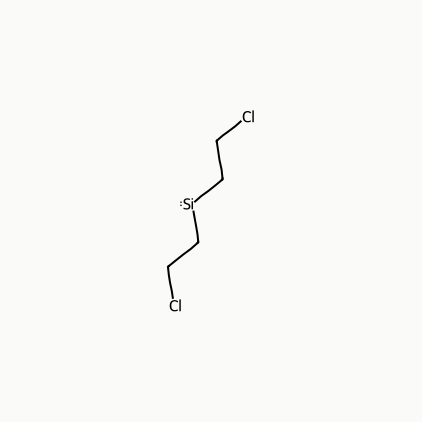 ClCC[Si]CCCl